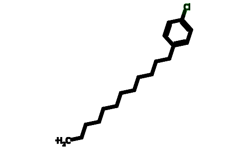 [CH2]CCCCCCCCCCCc1ccc(Cl)cc1